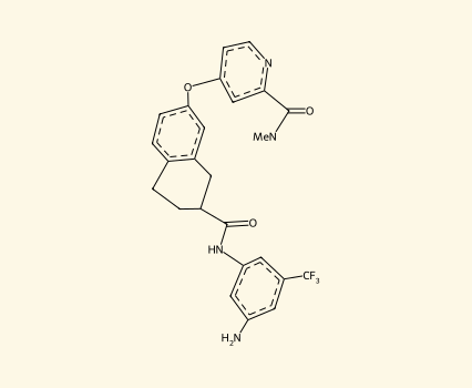 CNC(=O)c1cc(Oc2ccc3c(c2)CC(C(=O)Nc2cc(N)cc(C(F)(F)F)c2)CC3)ccn1